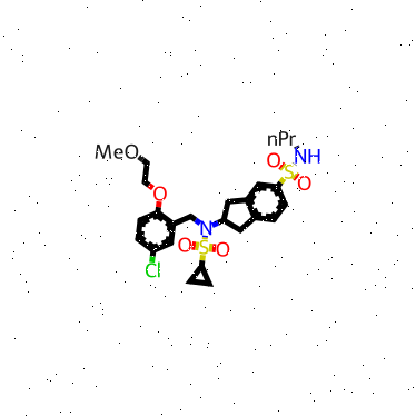 CCCNS(=O)(=O)c1ccc2c(c1)CC(N(Cc1cc(Cl)ccc1OCCOC)S(=O)(=O)C1CC1)C2